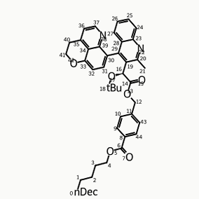 CCCCCCCCCCCCCCOC(=O)c1ccc(COC(=O)[C@@H](OC(C)(C)C)c2c(C)nc3ccccc3c2-c2ccc3c4c(ccnc24)CCO3)cc1